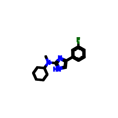 CN(c1nc(-c2cccc(F)c2)c[nH]1)C1CCCCC1